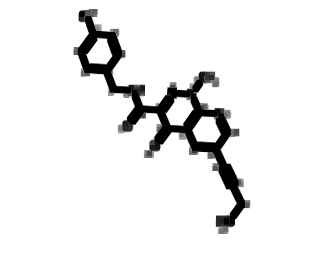 Cn1nc(C(=O)NCc2ccc(Cl)cc2)c(=O)c2cc(C#CCO)cnc21